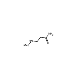 CSNCCC(N)=O